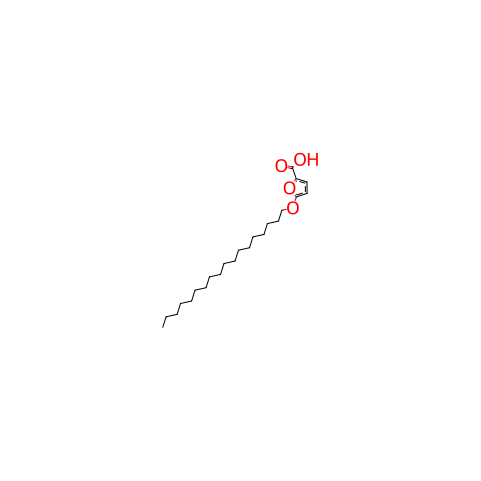 CCCCCCCCCCCCCCCCCCOc1ccc(C(=O)O)o1